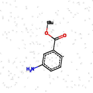 CC(C)(C)OC(=O)c1[c]ccc(N)c1